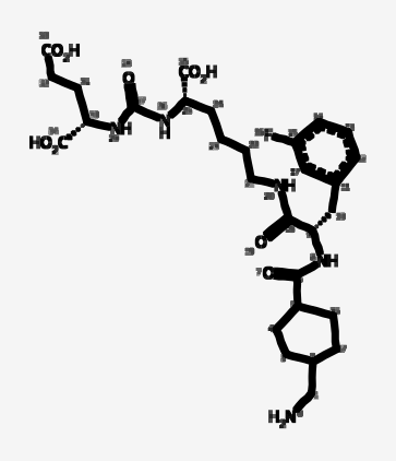 NCC1CCC(C(=O)N[C@@H](Cc2cccc(F)c2)C(=O)NCCCC[C@H](NC(=O)N[C@@H](CCC(=O)O)C(=O)O)C(=O)O)CC1